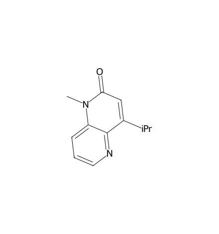 CC(C)c1cc(=O)n(C)c2cccnc12